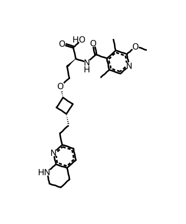 COc1ncc(C)c(C(=O)N[C@@H](CCO[C@H]2C[C@@H](CCc3ccc4c(n3)NCCC4)C2)C(=O)O)c1C